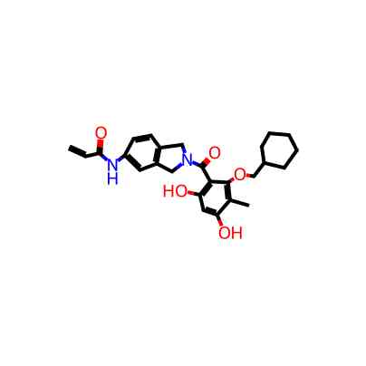 C=CC(=O)Nc1ccc2c(c1)CN(C(=O)c1c(O)cc(O)c(C)c1OCC1CCCCC1)C2